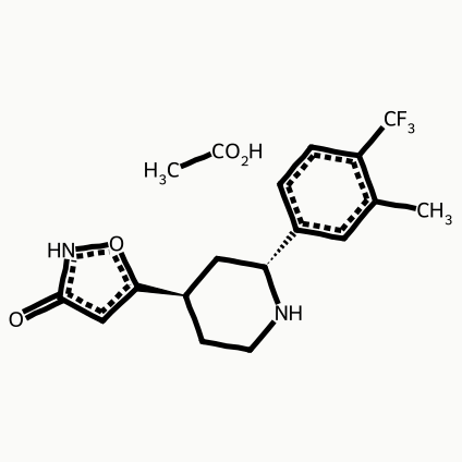 CC(=O)O.Cc1cc([C@H]2C[C@H](c3cc(=O)[nH]o3)CCN2)ccc1C(F)(F)F